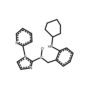 [O-][S+](Cc1ccccc1NC1CCCCC1)c1nccn1-c1ccccn1